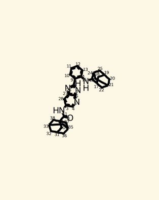 O=C(Nc1cnc2[nH]c(-c3ccccc3NC3C4CC5CC(C4)CC3C5)nc2c1)C12CC3CC(CC(C3)C1)C2